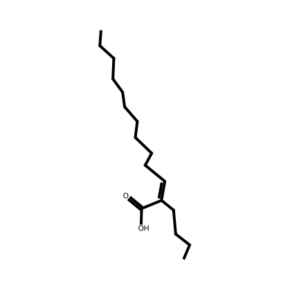 CCCCCCCCCC/C=C(/CCCC)C(=O)O